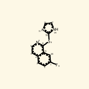 Fc1ccc2ccnc(Sc3ncc[nH]3)c2c1